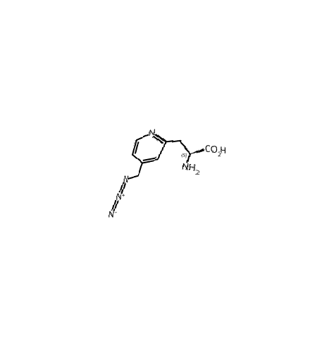 [N-]=[N+]=NCc1ccnc(C[C@H](N)C(=O)O)c1